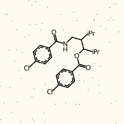 CC(C)C(CNC(=O)c1ccc(Cl)cc1)C(OC(=O)c1ccc(Cl)cc1)C(C)C